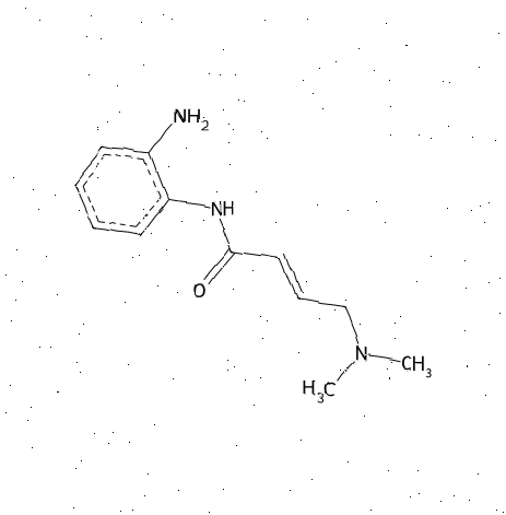 CN(C)CC=CC(=O)Nc1ccccc1N